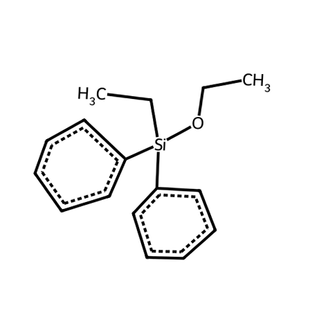 CCO[Si](CC)(c1ccccc1)c1ccccc1